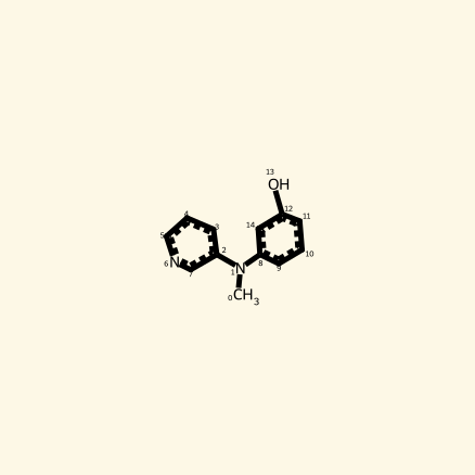 CN(c1cccnc1)c1cccc(O)c1